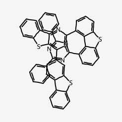 c1ccc(-c2nc(-c3ccccc3)nc(-c3cccc4sc5cccc(-c6nc(-c7ccc8c(c7)sc7ccccc78)c7sc8ccccc8c7n6)c5c34)n2)cc1